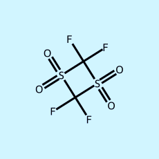 O=S1(=O)C(F)(F)S(=O)(=O)C1(F)F